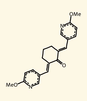 COc1ccc(/C=C2\CCC/C(=C\c3ccc(OC)nc3)C2=O)cn1